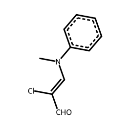 CN(C=C(Cl)C=O)c1ccccc1